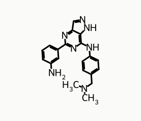 CN(C)Cc1ccc(Nc2nc(-c3cccc(N)c3)nc3cn[nH]c23)cc1